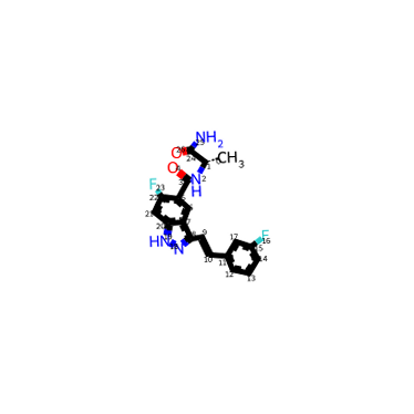 C[C@H](NC(=O)c1cc2c(/C=C/c3cccc(F)c3)n[nH]c2cc1F)C(N)=O